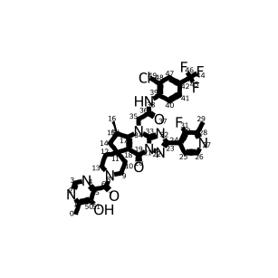 Cc1ncnc(C(=O)N2CCC3(CC2)C[C@@H](C)c2c3c(=O)n3nc(-c4ccnc(C)c4F)nc3n2CC(=O)Nc2ccc(C(F)(F)F)cc2Cl)c1O